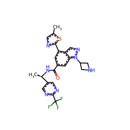 Cc1cnc(-c2cc(C(=O)N[C@H](C)c3cnc(C(F)(F)F)nc3)cc3c2cnn3C2CNC2)s1